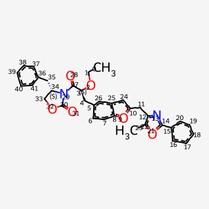 CCO[C@@H](Cc1ccc2oc(Cc3nc(-c4ccccc4)oc3C)cc2c1)C(=O)N1C(=O)OC[C@@H]1Cc1ccccc1